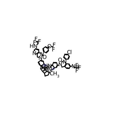 CC1(N/C=C2/C=C(N3Cc4ccc(NCC(F)(F)F)cc4N(c4ccc(Cl)cc4)C3=O)C=CC2=N)CCC2C3CCC3(N/C=C3/C=C(N4Cc5ncc(NCC(F)(F)F)cc5N(c5ccc(OC(F)F)cc5)C4=O)C=CC3=N)C21